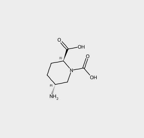 N[C@@H]1CC[C@@H](C(=O)O)N(C(=O)O)C1